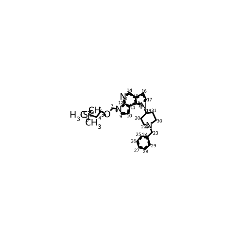 C[Si](C)(C)CCOCn1ccc2c1ncc1ccn(C3CCN(Cc4ccccc4)CC3)c12